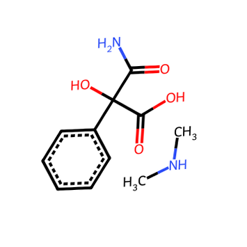 CNC.NC(=O)C(O)(C(=O)O)c1ccccc1